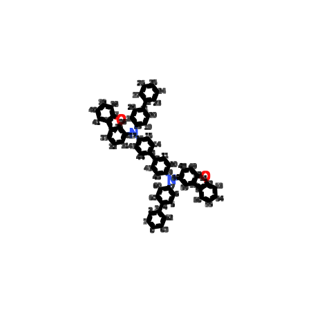 c1ccc(-c2ccc(N(c3ccc(-c4ccc(N(c5ccc(-c6ccccc6)cc5)c5cccc6c5oc5ccccc56)cc4)cc3)c3ccc4oc5ccccc5c4c3)cc2)cc1